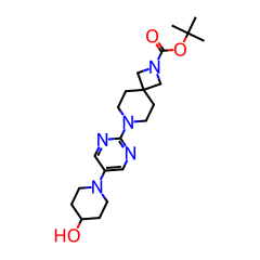 CC(C)(C)OC(=O)N1CC2(CCN(c3ncc(N4CCC(O)CC4)cn3)CC2)C1